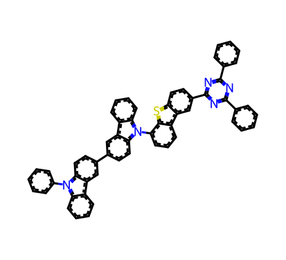 c1ccc(-c2nc(-c3ccccc3)nc(-c3ccc4sc5c(-n6c7ccccc7c7cc(-c8ccc9c(c8)c8ccccc8n9-c8ccccc8)ccc76)cccc5c4c3)n2)cc1